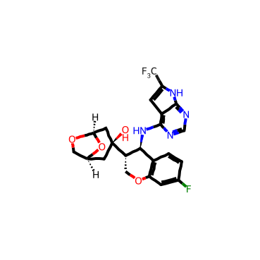 O[C@@]1([C@H]2COc3cc(F)ccc3[C@@H]2Nc2ncnc3[nH]c(C(F)(F)F)cc23)C[C@H]2CO[C@@H](C1)O2